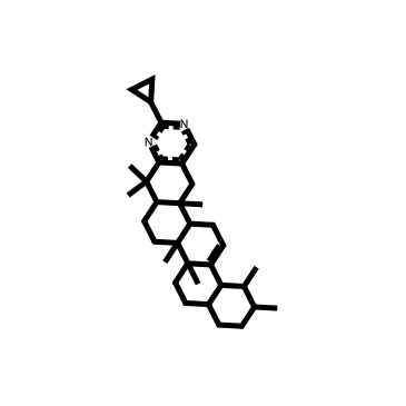 CC1CCC2CCC3(C)C(=CCC4C5(C)Cc6cnc(C7CC7)nc6C(C)(C)C5CCC43C)C2C1C